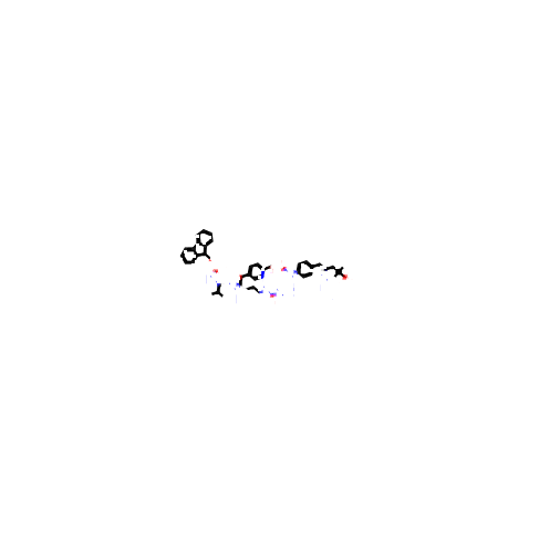 CC(C)[C@@H](CN[C@@H](CCCNC(N)=O)C(=O)c1ccc(COC(=O)Nc2ccc(C[C@H](N)CC(C)(C)C(=O)O)cc2)cc1)NC(=O)OCC1c2ccccc2-c2ccccc21